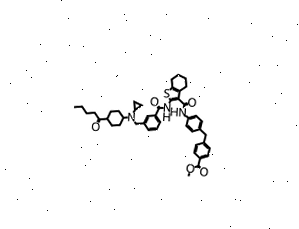 CCCCC(=O)C1CCC(N(Cc2cccc(C(=O)Nc3sc4c(c3C(=O)Nc3ccc(Cc5ccc(C(=O)OC)cc5)cc3)CCCC4)c2)C2CC2)CC1